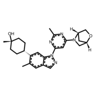 Cc1nc(N2C[C@@H]3C[C@H]2CO3)cc(-n2ncc3cc(C)c([C@H]4CC[C@@](C)(O)CC4)cc32)n1